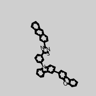 c1cc(-c2nc(-c3ccc4cc5ccccc5cc4c3)ns2)cc(-n2c3ccccc3c3cc(-c4ccc5c(c4)oc4ccccc45)ccc32)c1